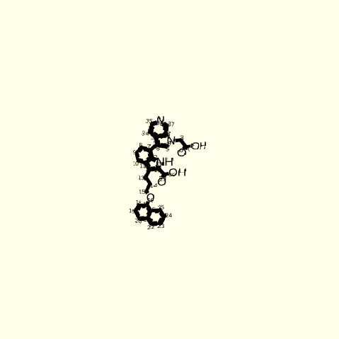 O=C(O)Cn1cc(-c2cccc3c(CCCOc4cccc5ccccc45)c(C(=O)O)[nH]c23)c2ccncc21